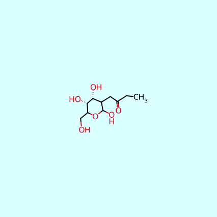 CCC(=O)CC1C(O)OC(CO)[C@H](O)[C@@H]1O